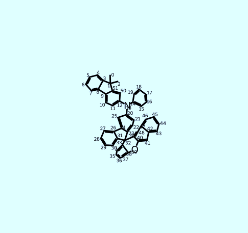 CC1(C)c2ccccc2-c2ccc(N(c3ccccc3)c3ccc4c(c3)-c3ccccc3C43c4ccccc4Oc4cc5ccccc5cc43)cc21